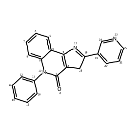 O=c1c2c(c3ccccc3n1-c1ccccc1)N=C(c1cccnc1)C2